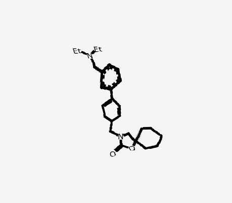 CCN(CC)Cc1cccc(C2=CCC(CN3CC4(CCCCC4)OC3=O)C=C2)c1